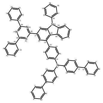 c1ccc(-c2ccc(N(c3ccc(-c4ccccc4)cc3)c3ccc(-c4cc(-c5nc(-c6ccccc6)nc(-c6ccccc6)n5)cc5c4c4ccccc4n5-c4ccccc4)cc3)cc2)cc1